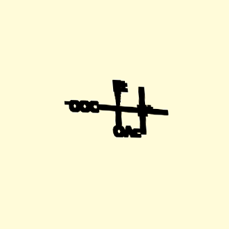 CC[C@](OC(C)=O)(C(=O)[O-])[N+](C)(C)C